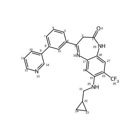 O=C1CC(c2cccc(-c3cccnc3)c2)=Nc2cc(NCC3CC3)c(C(F)(F)F)cc2N1